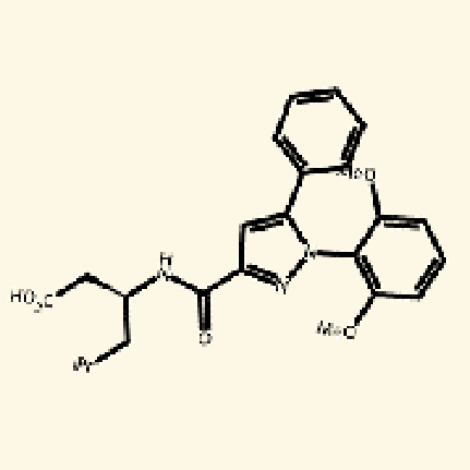 COc1cccc(OC)c1-n1nc(C(=O)N[C@H](CC(=O)O)CC(C)C)cc1-c1ccccc1